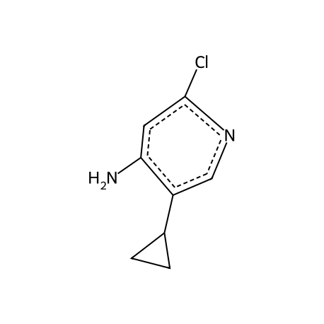 Nc1cc(Cl)ncc1C1CC1